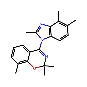 Cc1cccc2c1OC(C)(C)N=C2n1c(C)nc2c(C)c(C)ccc21